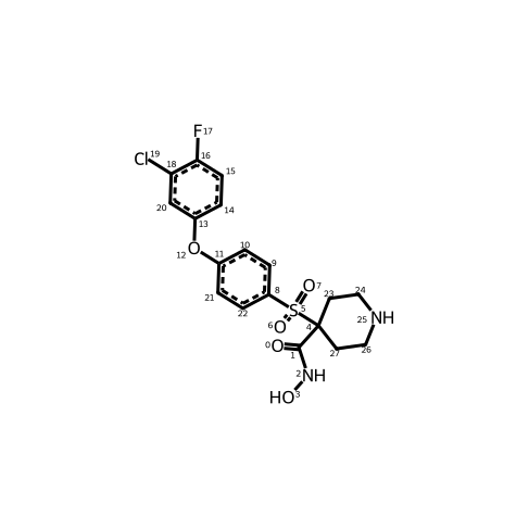 O=C(NO)C1(S(=O)(=O)c2ccc(Oc3ccc(F)c(Cl)c3)cc2)CCNCC1